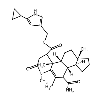 CC1=C2N(C)C(=O)CC(C(=O)NCc3cc(C4CC4)[nH]n3)[C@]2(C)[C@@H]2CC[C@]3(C)CCC[C@H]3[C@@H]2C1C(N)=O